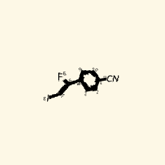 N#Cc1ccc(/C(F)=C/I)cc1